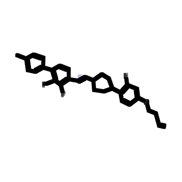 C=CCCOc1ccc(C2CCC(/C=C/c3ccc(-c4ccc(C)cc4)c(F)c3F)CC2)c(F)c1